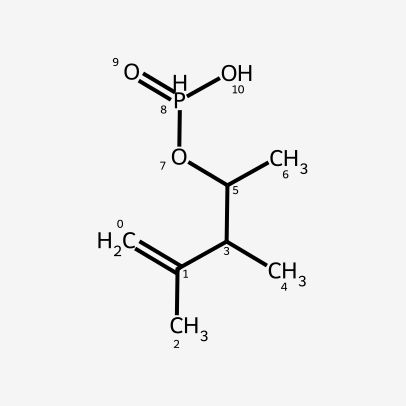 C=C(C)C(C)C(C)O[PH](=O)O